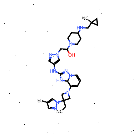 CCc1cnn(C2(CC#N)CN(C3=CC=CN4N=C(Nc5cnn(CC(O)N6CCC(NCC7(C#N)CC7)CC6)c5)NC34)C2)c1